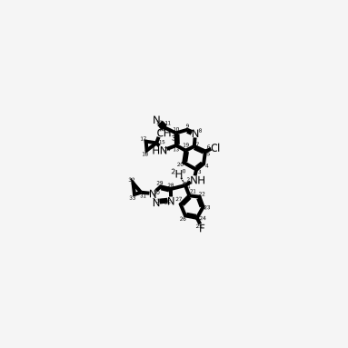 [2H][C@](Nc1cc(Cl)c2ncc(C#N)c(NC3(C)CC3)c2c1)(c1ccc(F)cc1)c1cn(C2CC2)nn1